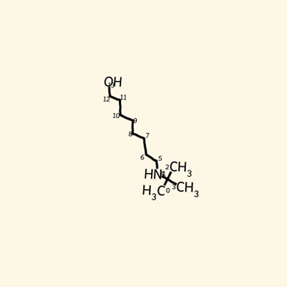 CC(C)(C)NCCCCCCCCO